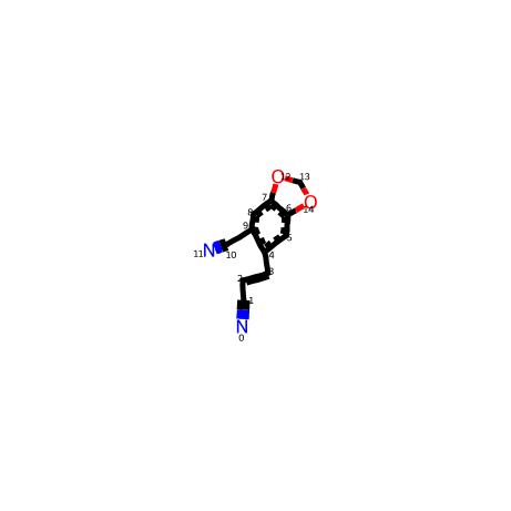 N#CC=Cc1cc2c(cc1C#N)OCO2